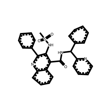 CS(=O)(=O)Nc1c(-c2ccccc2)nc2ccccc2c1C(=O)NC(c1ccccc1)c1ccccn1